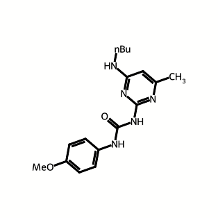 CCCCNc1cc(C)nc(NC(=O)Nc2ccc(OC)cc2)n1